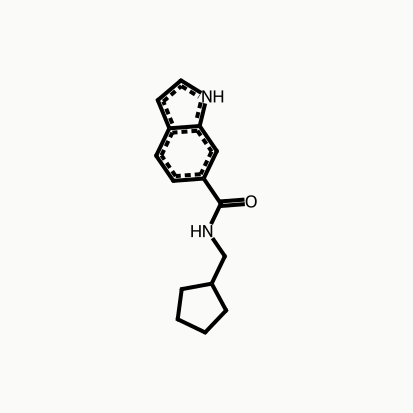 O=C(NCC1CCCC1)c1ccc2cc[nH]c2c1